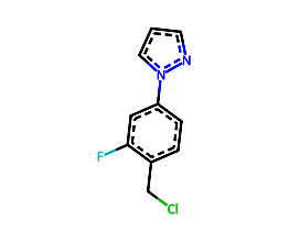 Fc1cc(-n2cccn2)ccc1CCl